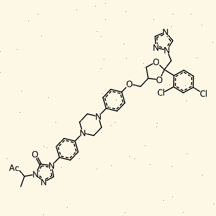 CC(=O)C(C)n1ncn(-c2ccc(N3CCN(c4ccc(OCC5COC(Cn6cncn6)(c6ccc(Cl)cc6Cl)O5)cc4)CC3)cc2)c1=O